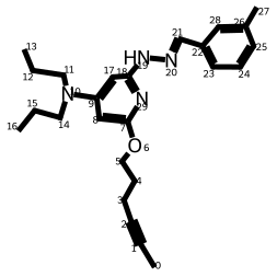 CC#CCCCOc1cc(N(CCC)CCC)cc(N/N=C/c2cccc(C)c2)n1